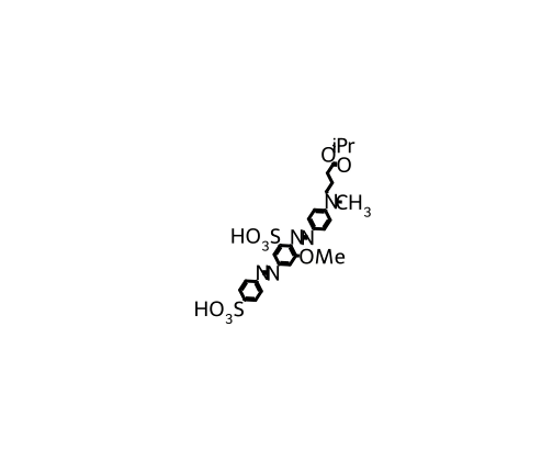 COc1cc(/N=N/c2ccc(S(=O)(=O)O)cc2)cc(S(=O)(=O)O)c1/N=N/c1ccc(N(C)CCCC(=O)OC(C)C)cc1